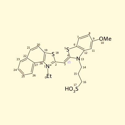 CC[n+]1c(/C=C2\Sc3ccc(OC)cc3N2CCCS(=O)(=O)O)sc2ccc3ccccc3c21